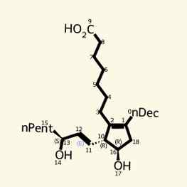 CCCCCCCCCCC1=C(CCCCCCC(=O)O)[C@@H](/C=C/[C@@H](O)CCCCC)[C@H](O)C1